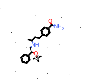 CC(CCc1ccc(C(N)=O)cc1)NC[C@@H](O[Si](C)(C)C)c1ccccc1